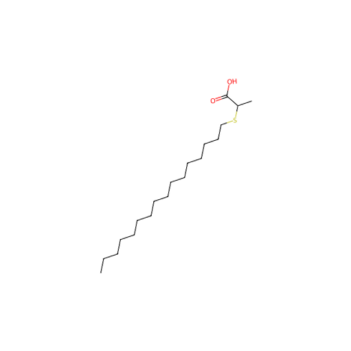 CCCCCCCCCCCCCCCCSC(C)C(=O)O